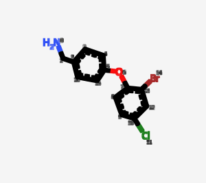 NCc1ccc(Oc2ccc(Cl)cc2Br)cc1